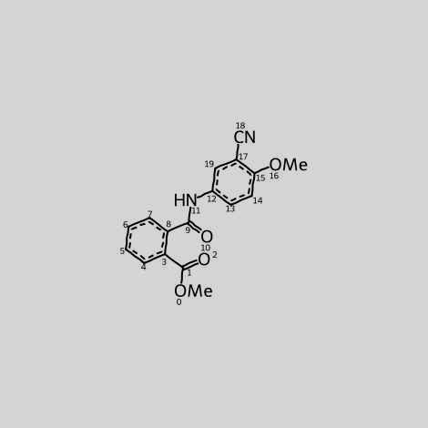 COC(=O)c1ccccc1C(=O)Nc1ccc(OC)c(C#N)c1